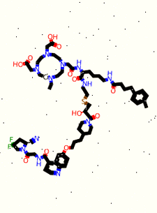 CCN1CCN(CC(=O)O)CCN(CC(=O)O)CCN(CC(=O)NC(CCCCNC(=O)CCCc2ccc(C)cc2)C(=O)NCCSC[C@@H](O)C(=O)N2CCC(CCCOc3ccc4nccc(C(=O)NCC(=O)N5CC(F)(F)C[C@@H]5C#N)c4c3)CC2)CC1